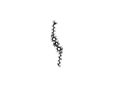 CCCCCCCCOc1ccc(-c2ccc(-c3ccc(OCCCCCCC4CC4)cc3)nn2)cn1